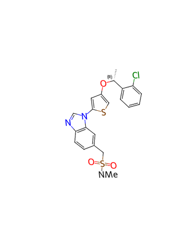 CNS(=O)(=O)Cc1ccc2ncn(-c3cc(O[C@H](C)c4ccccc4Cl)cs3)c2c1